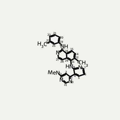 CNc1cc(-c2cccnc2Nc2c(C)ccc3c(Nc4cccc(C)c4)nccc23)ncn1